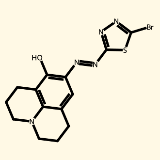 Oc1c(N=Nc2nnc(Br)s2)cc2c3c1CCCN3CCC2